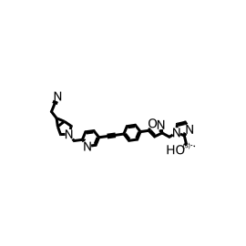 C[C@H](O)c1nccn1Cc1cc(-c2ccc(C#Cc3ccc(CN4CC5C(CC#N)C5C4)nc3)cc2)on1